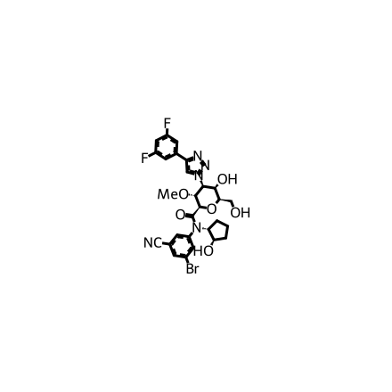 CO[C@@H]1[C@@H](n2cc(-c3cc(F)cc(F)c3)nn2)[C@@H](O)[C@@H](CO)O[C@H]1C(=O)N(c1cc(Br)cc(C#N)c1)[C@@H]1CCC[C@H]1O